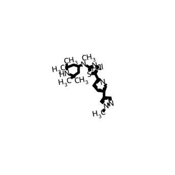 CN(c1nnc(-c2ccc(-c3cnn(C)c3)cn2)s1)C1CC(C)(C)NC(C)(C)C1.Cl